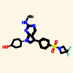 CCCCNc1ncc2c(-c3ccc(S(=O)(=O)N4CC(F)(F)C4)cc3)cn([C@H]3CC[C@H](O)CC3)c2n1